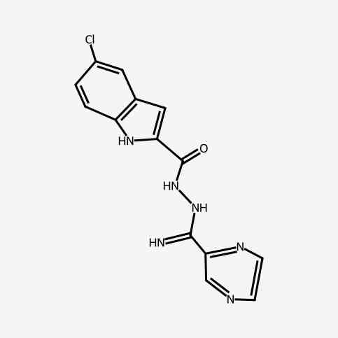 N=C(NNC(=O)c1cc2cc(Cl)ccc2[nH]1)c1cnccn1